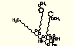 CCCCCCCCCCCC(CC(=O)N[C@H]1COC(CO)[C@@H](OS(=O)(=O)O)[C@@H]1OC(=O)CCCCCCCC1(OC)C=CC=CC1)OC(=O)CCCCCCCc1ccc(OC)cc1